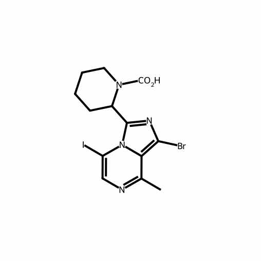 Cc1ncc(I)n2c(C3CCCCN3C(=O)O)nc(Br)c12